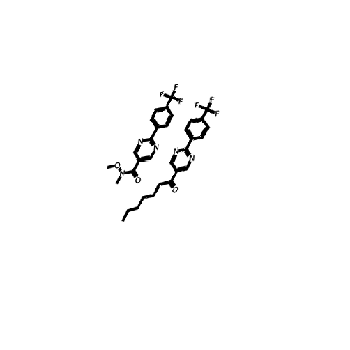 CCCCCCC(=O)c1cnc(-c2ccc(C(F)(F)F)cc2)nc1.CON(C)C(=O)c1cnc(-c2ccc(C(F)(F)F)cc2)nc1